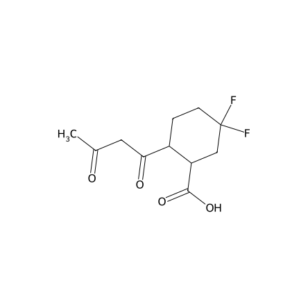 CC(=O)CC(=O)C1CCC(F)(F)CC1C(=O)O